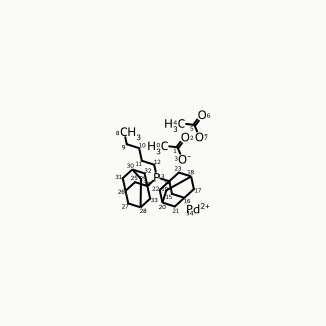 CC(=O)[O-].CC(=O)[O-].CCCCCP(C12CC3CC(CC(C3)C1)C2)C12CC3CC(CC(C3)C1)C2.[Pd+2]